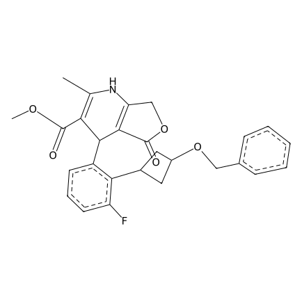 COC(=O)C1=C(C)NC2=C(C(=O)OC2)C1c1cccc(F)c1C1CC(OCc2ccccc2)C1